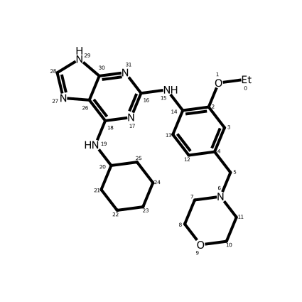 CCOc1cc(CN2CCOCC2)ccc1Nc1nc(NC2CCCCC2)c2nc[nH]c2n1